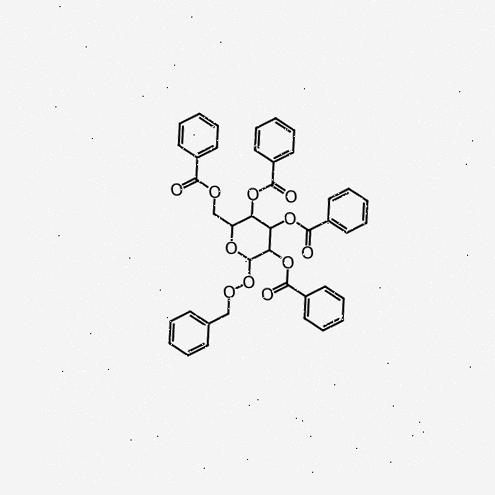 O=C(OCC1OC(OOCc2ccccc2)C(OC(=O)c2ccccc2)C(OC(=O)c2ccccc2)C1OC(=O)c1ccccc1)c1ccccc1